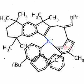 Bc1c2cc(C)c(Cc3ccccc3)c1N(c1ccc(CCCC)cc1-c1ccccc1)C1=C(C/C2=C\CCC)C(C)(C)c2cc3c(cc21)C(C)(C)CCC3(C)C